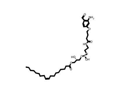 CCCCCCCC/C=C\CCCCCCCC(=O)OC[C@H](O)COP(O)OCCNC(=O)CCCOc1ccc(C=O)c(N)c1